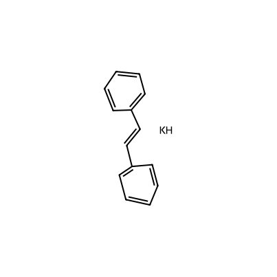 C(=Cc1ccccc1)c1ccccc1.[KH]